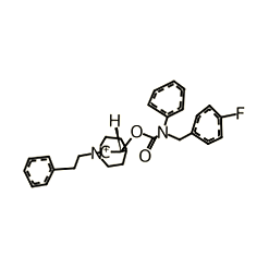 O=C(O[C@H]1C[N+]2(CCc3ccccc3)CCC1CC2)N(Cc1ccc(F)cc1)c1ccccc1